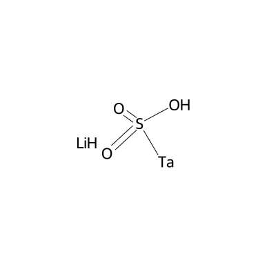 O=[S](=O)(O)[Ta].[LiH]